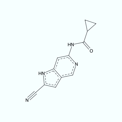 N#Cc1cc2cnc(NC(=O)C3CC3)cc2[nH]1